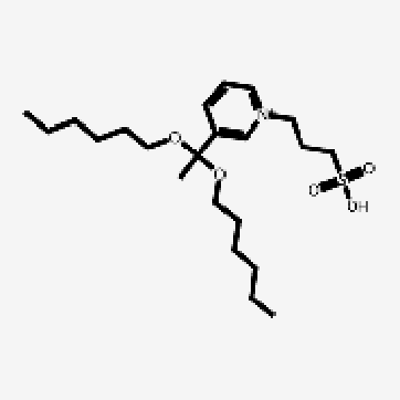 CCCCCCOC(C)(OCCCCCC)c1ccc[n+](CCCS(=O)(=O)O)c1